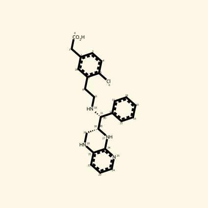 O=C(O)Cc1ccc(Cl)c(CCN[C@H](c2ccccc2)[C@H]2CNc3cccnc3N2)c1